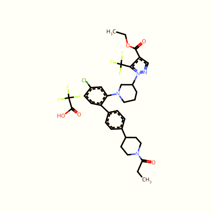 CCOC(=O)c1cnn(C2CCCN(c3cc(Cl)ccc3-c3ccc(C4CCN(C(=O)CC)CC4)cc3)C2)c1C(F)(F)F.O=C(O)C(F)(F)F